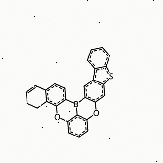 C1=Cc2ccc3c(c2CC1)Oc1cccc2c1B3c1cc3c(cc1O2)sc1ccccc13